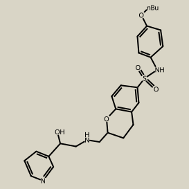 CCCCOc1ccc(NS(=O)(=O)c2ccc3c(c2)CCC(CNCC(O)c2cccnc2)O3)cc1